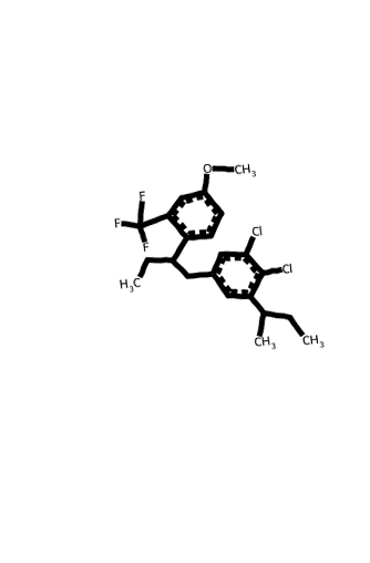 CCC(C)c1cc(CC(CC)c2ccc(OC)cc2C(F)(F)F)cc(Cl)c1Cl